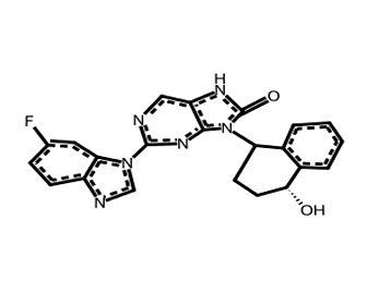 O=c1[nH]c2cnc(-n3cnc4ccc(F)cc43)nc2n1C1CC[C@@H](O)c2ccccc21